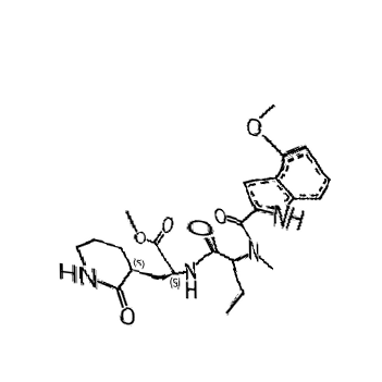 CCC(C(=O)N[C@@H](C[C@@H]1CCCNC1=O)C(=O)OC)N(C)C(=O)c1cc2c(OC)cccc2[nH]1